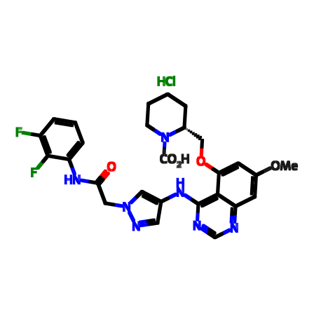 COc1cc(OC[C@H]2CCCCN2C(=O)O)c2c(Nc3cnn(CC(=O)Nc4cccc(F)c4F)c3)ncnc2c1.Cl